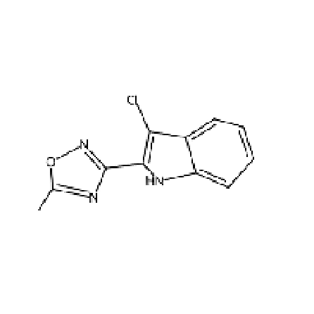 Cc1nc(-c2[nH]c3ccccc3c2Cl)no1